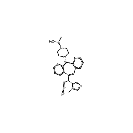 CB(O)N1CCN([C@H]2c3ccccc3C(C(N=[N+]=[N-])c3cncn3C)=Cc3cccnc32)CC1